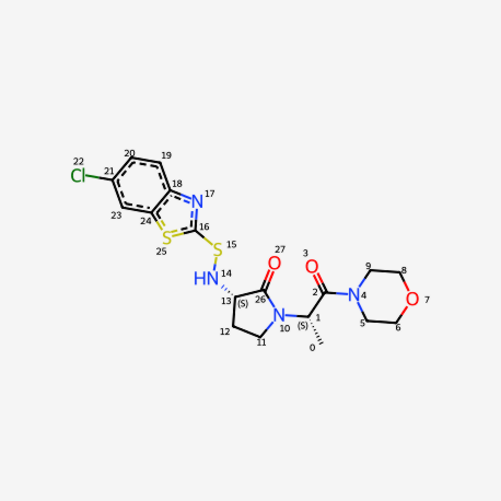 C[C@@H](C(=O)N1CCOCC1)N1CC[C@H](NSc2nc3ccc(Cl)cc3s2)C1=O